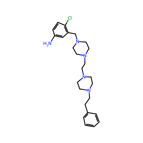 Nc1ccc(Cl)c(CN2CCN(CCN3CCN(CCc4ccccc4)CC3)CC2)c1